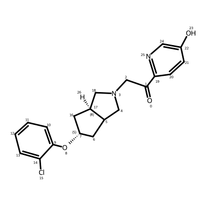 O=C(CN1CC2C[C@H](Oc3ccccc3Cl)C[C@H]2C1)c1ccc(O)cn1